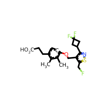 Cc1c(CCC(=O)O)ccc(OCc2c(C3CC(F)(F)C3)nsc2CF)c1C